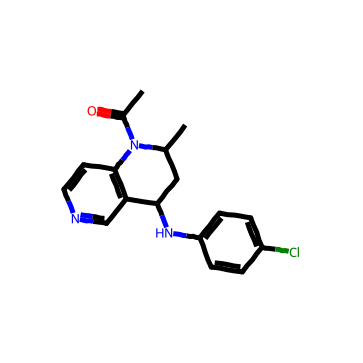 CC(=O)N1c2ccncc2C(Nc2ccc(Cl)cc2)CC1C